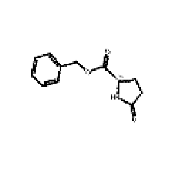 O=C1CC[C@H](C(=O)OCc2ccccc2)N1